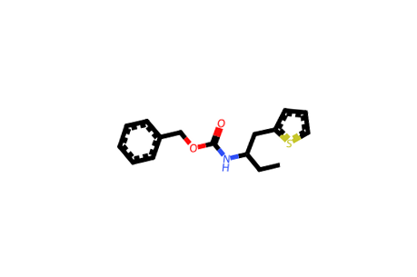 CCC(Cc1cccs1)NC(=O)OCc1ccccc1